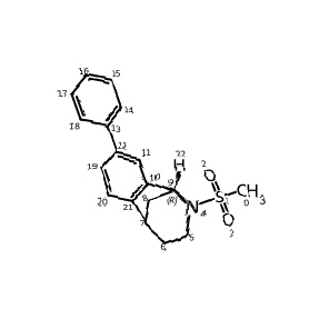 CS(=O)(=O)N1CCC2C[C@@H]1c1cc(-c3ccccc3)ccc12